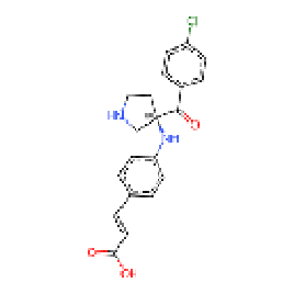 O=C(O)C=Cc1ccc(N[C@]2(C(=O)c3ccc(Cl)cc3)CCNC2)cc1